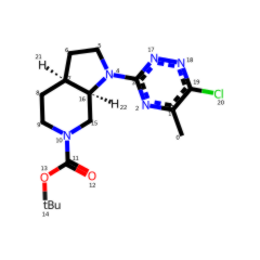 Cc1nc(N2CC[C@@H]3CCN(C(=O)OC(C)(C)C)C[C@@H]32)nnc1Cl